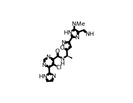 CNc1[nH]c(-c2cc([C@@H](C)NC(=O)c3ncnc(-c4ncc[nH]4)c3Cl)on2)nc1C=N